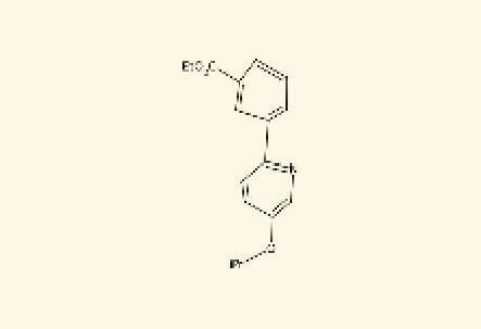 CCOC(=O)c1cccc(-c2ccc(OC(C)C)cn2)c1